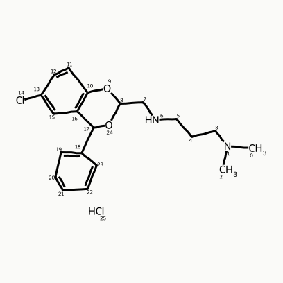 CN(C)CCCNCC1Oc2ccc(Cl)cc2C(c2ccccc2)O1.Cl